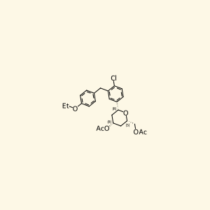 CCOc1ccc(Cc2cc([C@H]3C[C@@H](OC(C)=O)C[C@@H](COC(C)=O)O3)ccc2Cl)cc1